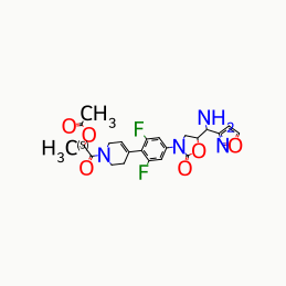 CC(=O)O[C@@H](C)C(=O)N1CC=C(c2c(F)cc(N3CC(C(N)c4ccon4)OC3=O)cc2F)CC1